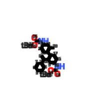 C=C(c1ccccc1)c1cc(NC(=O)OC(C)(C)C)ccc1-c1ccc(NC(=O)OC(C)(C)C)cc1C